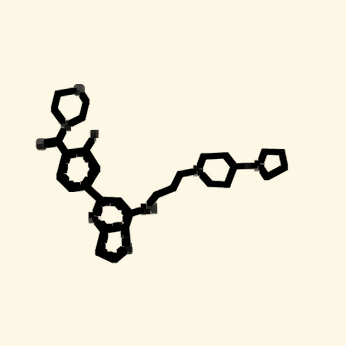 O=C(c1ccc(-c2cc(NCCCN3CCC(N4CCCC4)CC3)c3sccc3n2)cc1F)N1CCOCC1